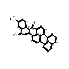 C=c1cc2c3ccc4c5cccc6cccc(c7ccc(c(=O)n2c2ccc(C)cc12)c3c74)c65